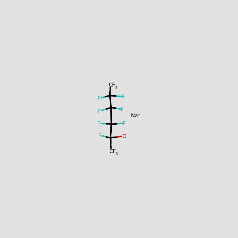 [Na+].[O-]C(F)(C(F)(F)F)C(F)(F)C(F)(F)C(F)(F)C(F)(F)F